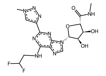 CNC(=O)[C@H]1O[C@@H](n2cnc3c(NCC(F)F)nc(-c4cn(C)nn4)nc32)[C@H](O)[C@@H]1O